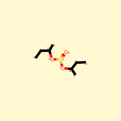 CCC(C)OS(=O)OC(C)CC